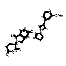 COc1cc(C2CN([C@@H]3CCC[C@@H]3Oc3ccc4c(c3)CN(C3CCC(=O)NC3=O)C4=O)C2)ccn1